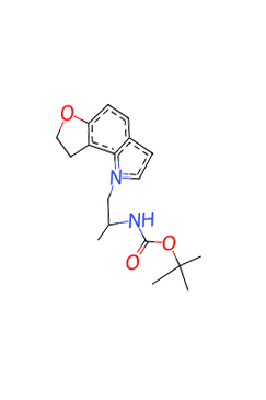 CC(Cn1ccc2ccc3c(c21)CCO3)NC(=O)OC(C)(C)C